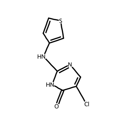 O=c1[nH]c(Nc2ccsc2)ncc1Cl